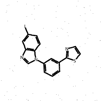 Ic1ccc2c(c1)ncn2-c1cccc(-c2nccs2)c1